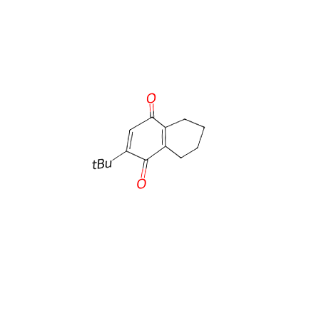 CC(C)(C)C1=CC(=O)C2=C(CCCC2)C1=O